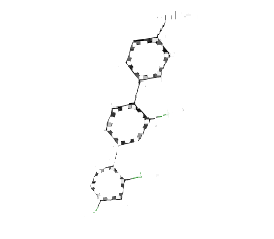 CCCCCc1ccc(-c2ccc(-c3ccc(Cl)cc3F)cc2F)cc1